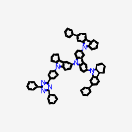 C1=CC2c3ccc(-c4ccccc4)cc3N(c3ccc4c(c3)c3cc(-n5c6ccccc6c6ccc(-c7ccccc7)cc65)ccc3n4-c3ccc4c(c3)c3ccccc3n4-c3ccc(-c4nc(-c5ccccc5)nc(-c5ccccc5)n4)cc3)C2C=C1